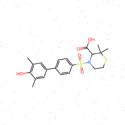 Cc1cc(-c2ccc(S(=O)(=O)N3CCSC(C)(C)C3C(=O)O)cc2)cc(C)c1O